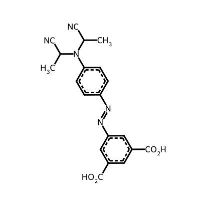 CC(C#N)N(c1ccc(N=Nc2cc(C(=O)O)cc(C(=O)O)c2)cc1)C(C)C#N